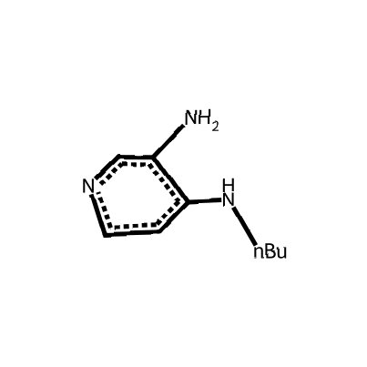 [CH2]CCCNc1ccncc1N